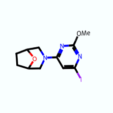 COc1nc(I)cc(N2CC3CCC(C2)O3)n1